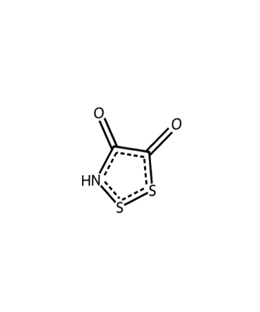 O=c1[nH]ssc1=O